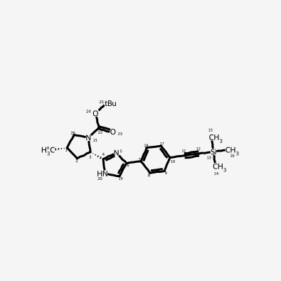 C[C@H]1C[C@@H](c2nc(-c3ccc(C#C[Si](C)(C)C)cc3)c[nH]2)N(C(=O)OC(C)(C)C)C1